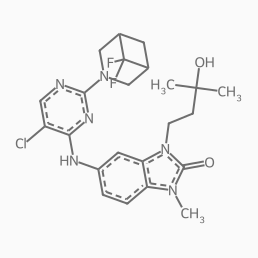 Cn1c(=O)n(CCC(C)(C)O)c2cc(Nc3nc(N4CC5CC(C4)C5(F)F)ncc3Cl)ccc21